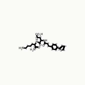 NCCCCC(NC(=O)C(CCC(=O)O)NC(=O)CCc1ccc(-c2cccs2)cc1)C(N)=O